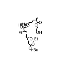 C=C(CC)C(=O)OCCCCCC.C=C(CC=CC(=O)O)C(=O)OCCO.C=CC(=O)OCC.C=CC(=O)OCCCC